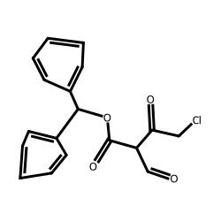 O=CC(C(=O)CCl)C(=O)OC(c1ccccc1)c1ccccc1